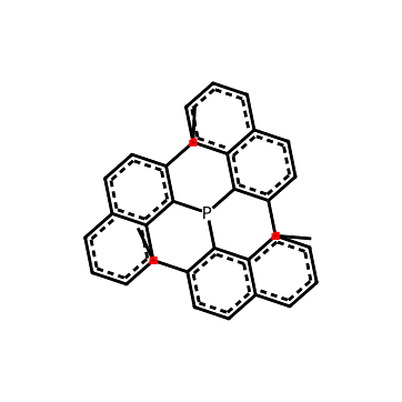 CCc1ccc2ccccc2c1P(c1c(CC)ccc2ccccc12)c1c(CC)ccc2ccccc12